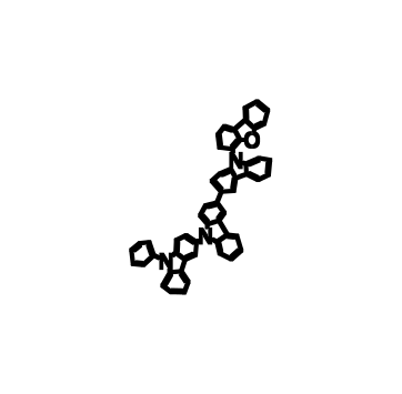 c1ccc(-n2c3ccccc3c3cc(-n4c5ccccc5c5cc(-c6ccc7c(c6)c6ccccc6n7-c6cccc7c6oc6ccccc67)ccc54)ccc32)cc1